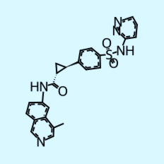 Cc1cncc2ccc(NC(=O)[C@@H]3C[C@H]3c3ccc(S(=O)(=O)Nc4cccnn4)cc3)cc12